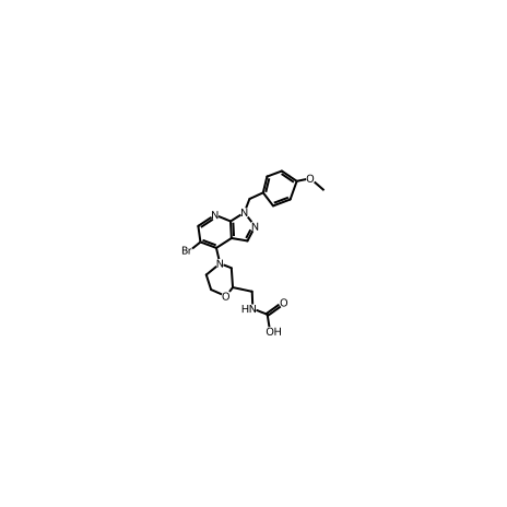 COc1ccc(Cn2ncc3c(N4CCOC(CNC(=O)O)C4)c(Br)cnc32)cc1